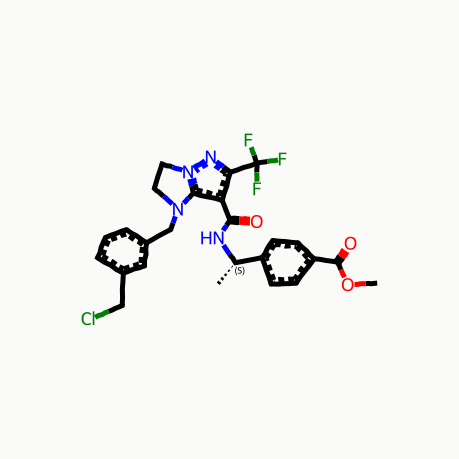 COC(=O)c1ccc([C@H](C)NC(=O)c2c(C(F)(F)F)nn3c2N(Cc2cccc(CCl)c2)CC3)cc1